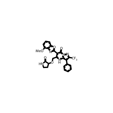 COc1cccc2oc(-c3c(COC4CCNC4=O)[nH]c4c(-c5ccccc5)c(C(F)(F)F)nn4c3=O)nc12